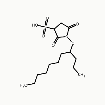 CCCCCCCC(CCC)ON1C(=O)CC(S(=O)(=O)O)C1=O